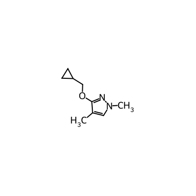 Cc1cn(C)nc1OCC1CC1